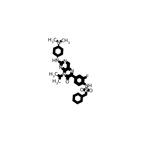 CC(C)n1c(=O)c(-c2ccc(NS(=O)(=O)CC3CCCCC3)c(F)c2)nc2cnc(N[C@H]3CC[C@H](N(C)C)CC3)nc21